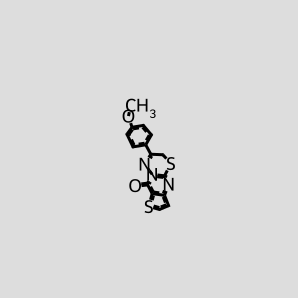 COc1ccc(C2=Nn3c(nc4ccsc4c3=O)SC2)cc1